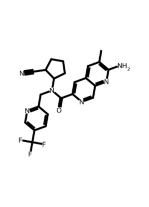 Cc1cc2cc(C(=O)N(Cc3ccc(C(F)(F)F)cn3)C3CCCC3C#N)ncc2nc1N